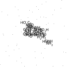 C[C@H](NC(=O)[C@H](CC(=O)O)NC(=O)[C@H](C)NC(=O)[C@H](CC(=O)O)NC(=O)[C@H](C)NC(=O)[C@H](CCCNC(=N)N)NC(=O)[C@H](C)NC(=O)[C@H](CC(=O)O)NC(=O)[C@H](C)NC(=O)[C@@H](N)CCCNC(=N)N)C(=O)O